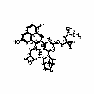 C#Cc1c(F)ccc2cc(O)cc(C3=Cc4nc(OCC5(CN(C)C)CC5)nc(N5CC6CCC(C5)N6)c4[S+]([O-])N3CC3COC3)c12